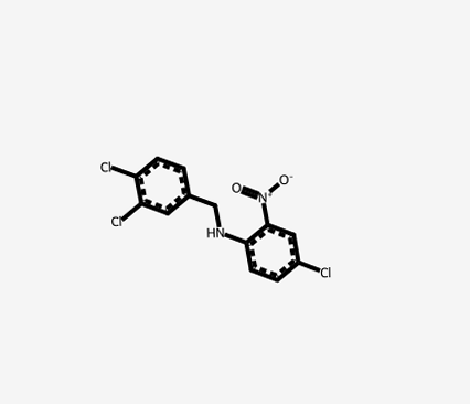 O=[N+]([O-])c1cc(Cl)ccc1NCc1ccc(Cl)c(Cl)c1